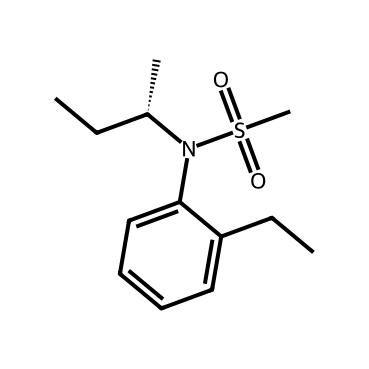 CCc1ccccc1N([C@@H](C)CC)S(C)(=O)=O